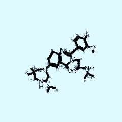 COc1cc(-c2nc3ccc(N4C[C@H](C(C)C)NCC(C)(C)C4)cc3c(=O)n2CC(=O)NC(C)C)ccc1F